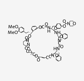 COc1ccc(CC[C@H]2OC(=O)[C@@H]3CCCCN3C(=O)C(=O)C(C)(C)COC(=O)/C=C/CCN(C)C(=O)[C@@H](Cc3ccccc3)NC(=O)CN(C)C(=O)[C@@H](Cc3ccccc3)NC(=O)[C@H](Cc3ccc(OC(=O)N4CCOCC4)cc3)NC(=O)COc3cccc2c3)cc1OC